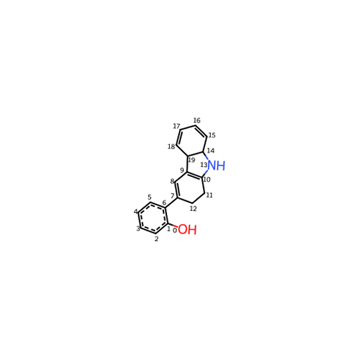 Oc1ccccc1C1=CC2=C(CC1)NC1C=CC=CC21